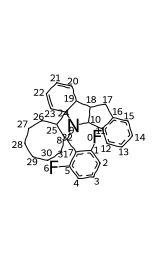 Fc1cccc(F)c1CN1C2c3ccccc3CC2C2C=CC=CC21C1CCCCCCC1